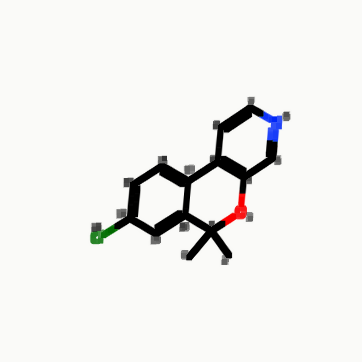 CC1(C)Oc2cnccc2-c2ccc(Cl)cc21